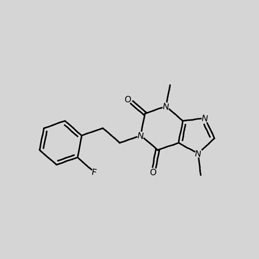 Cn1cnc2c1c(=O)n(CCc1ccccc1F)c(=O)n2C